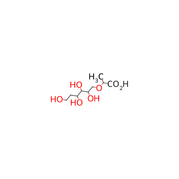 CC(OCC(O)C(O)C(O)CCO)C(=O)O